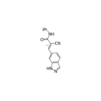 CC(C)NC(=O)/C(C#N)=C/c1ccc2cn[nH]c2c1